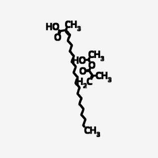 C=C(C)C(=O)OC(C)O.CCCCCCCCCCCCCCCCCCC=C(C)C(=O)O